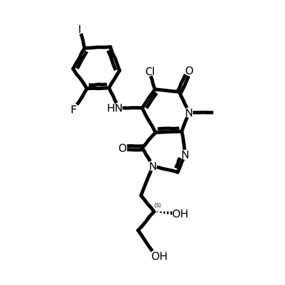 Cn1c(=O)c(Cl)c(Nc2ccc(I)cc2F)c2c(=O)n(C[C@H](O)CO)cnc21